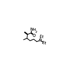 C=C(C(N)=O)C(C)CCCN(CC)CC